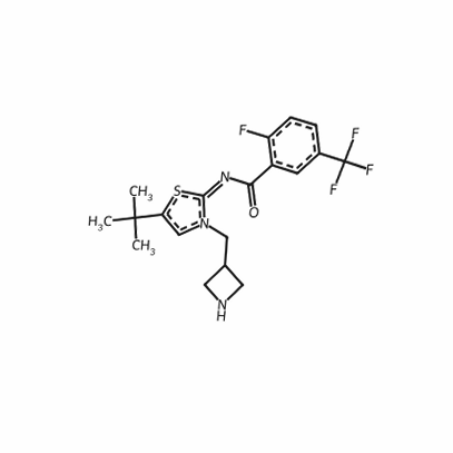 CC(C)(C)c1cn(CC2CNC2)c(=NC(=O)c2cc(C(F)(F)F)ccc2F)s1